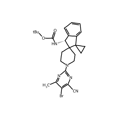 Cc1nc(N2CCC3(CC2)[C@H](NC(=O)OC(C)(C)C)c2ccccc2C32CC2)nc(C#N)c1Br